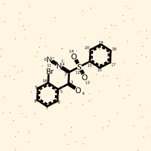 [N-]=[N+]=C(C(=O)c1ccccc1Br)S(=O)(=O)c1ccccc1